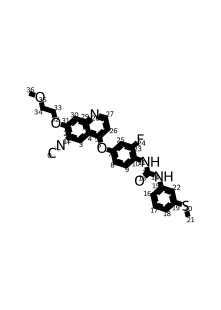 [C-]#[N+]c1cc2c(Oc3ccc(NC(=O)Nc4cccc(SC)c4)c(F)c3)ccnc2cc1OCCOC